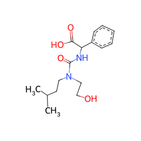 CC(C)CCN(CCO)C(=O)NC(C(=O)O)c1ccccc1